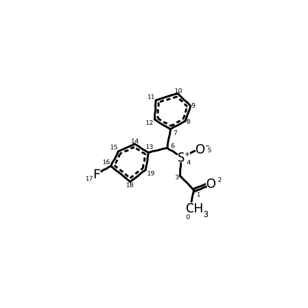 CC(=O)C[S+]([O-])C(c1ccccc1)c1ccc(F)cc1